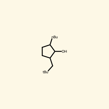 CCCCC1CCC(CC(C)(C)C)C1O